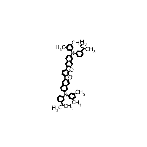 Cc1cc(C)cc(N(c2cccc(C(C)C)c2)c2ccc3cc4c(cc3c2)oc2c4ccc3c4cc5ccc(N(c6cc(C)cc(C)c6)c6cccc(C(C)C)c6)cc5cc4oc32)c1